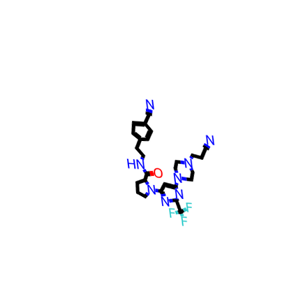 N#CCCN1CCN(c2cc(N3CCCC3C(=O)NCCc3ccc(C#N)cc3)nc(C(F)(F)F)n2)CC1